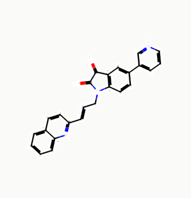 O=C1C(=O)N(C/C=C/c2ccc3ccccc3n2)c2ccc(-c3cccnc3)cc21